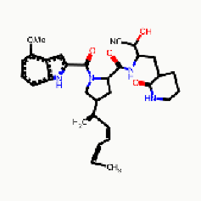 C=C(/C=C\C=C/C)C1CC(C(=O)NC(CC2CCCNC2=O)C(O)C#N)N(C(=O)c2cc3c(OC)cccc3[nH]2)C1